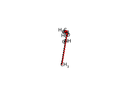 CCC=CCC=CCC=CCC=CCC=CCC=CCCC(=O)NCCCCNC(=O)c1c[n+]([O-])c(C)cn1